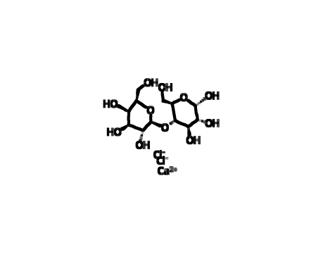 OC[C@H]1O[C@@H](O[C@H]2[C@H](O)[C@@H](O)[C@@H](O)O[C@@H]2CO)[C@H](O)[C@@H](O)[C@H]1O.[Ca+2].[Cl-].[Cl-]